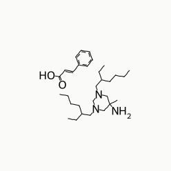 CCCCC(CC)CN1CN(CC(CC)CCCC)CC(C)(N)C1.O=C(O)/C=C/c1ccccc1